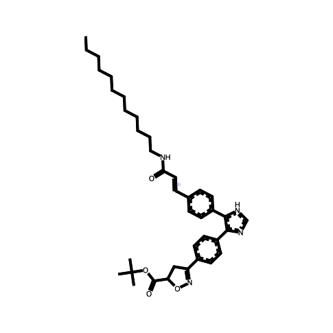 CCCCCCCCCCCCNC(=O)/C=C/c1ccc(-c2[nH]cnc2-c2ccc(C3=NOC(C(=O)OC(C)(C)C)C3)cc2)cc1